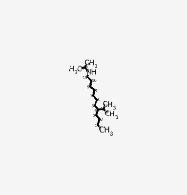 CCCCC(CCCCCCCNC(C)C)C(C)C